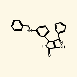 O=C1NC(c2cccc(NCc3ccccc3)c2)c2c(-c3ccccc3)n[nH]c21